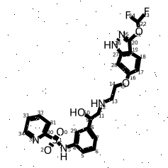 O=S(=O)(Nc1cccc(C(O)CNCCOc2ccc3c(OC(F)F)n[nH]c3c2)c1)c1ccccn1